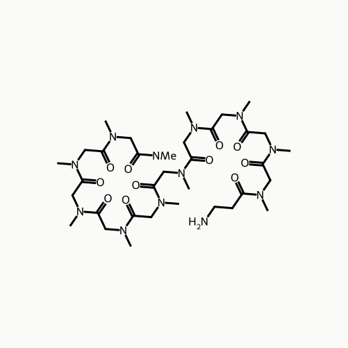 CNC(=O)CN(C)C(=O)CN(C)C(=O)CN(C)C(=O)CN(C)C(=O)CN(C)C(=O)CN(C)C(=O)CN(C)C(=O)CN(C)C(=O)CN(C)C(=O)CN(C)C(=O)CCN